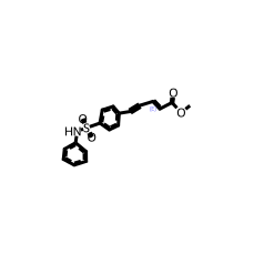 COC(=O)/C=C/C#Cc1ccc(S(=O)(=O)Nc2ccccc2)cc1